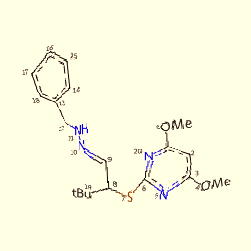 COc1cc(OC)nc(SC(C=NNCc2ccccc2)C(C)(C)C)n1